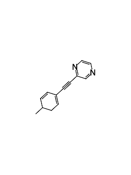 CC1C=CC(C#Cc2cnccn2)=CC1